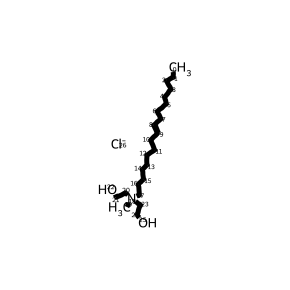 CCCCCCCCC=CCCCCCCCC[N+](C)(CCO)CCO.[Cl-]